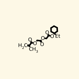 C=C(C)C(=O)OCC(=O)OCC(=O)OC1(CC)CCCCC1